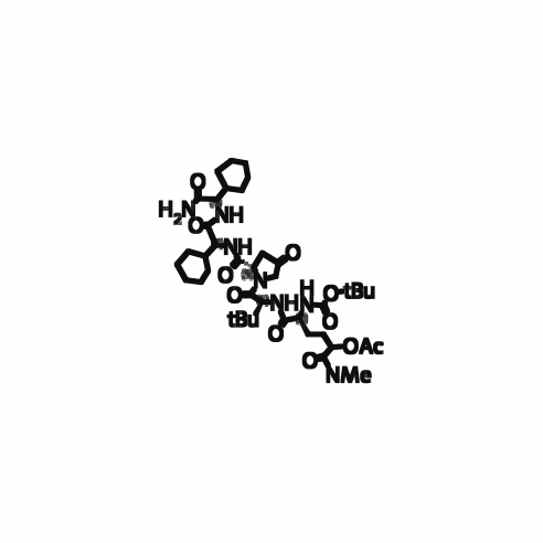 CNC(=O)C(CC[C@H](NC(=O)OC(C)(C)C)C(=O)N[C@H](C(=O)N1CC(=O)C[C@H]1C(=O)N[C@H](C(=O)N[C@H](C(N)=O)C1CCCCC1)C1CCCCC1)C(C)(C)C)OC(C)=O